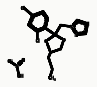 CCCC1COC(Cn2cncn2)(c2ccc(Cl)cc2Cl)O1.O=[N+]([O-])O